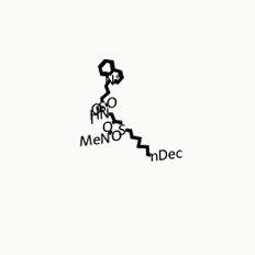 CCCCCCCCCCCCCCCCSCC(CNS(=O)(=O)CCC[n+]1cccc2ccccc21)OC(=O)NC.[I-]